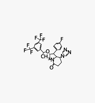 CC(O[C@H]1CN2C(=O)CCC(n3cnnc3)C2C1c1ccc(F)cc1)c1cc(C(F)(F)F)cc(C(F)(F)F)c1